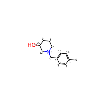 Cc1ccc(CN2CCCC(O)C2)cc1